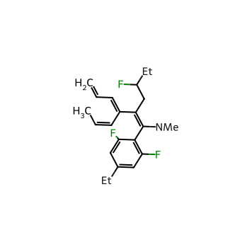 C=C/C=C(\C=C/C)C(/CC(F)CC)=C(/NC)c1c(F)cc(CC)cc1F